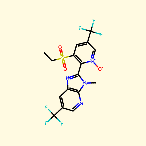 CCS(=O)(=O)c1cc(C(F)(F)F)c[n+]([O-])c1-c1nc2cc(C(F)(F)F)cnc2n1C